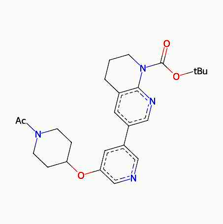 CC(=O)N1CCC(Oc2cncc(-c3cnc4c(c3)CCCN4C(=O)OC(C)(C)C)c2)CC1